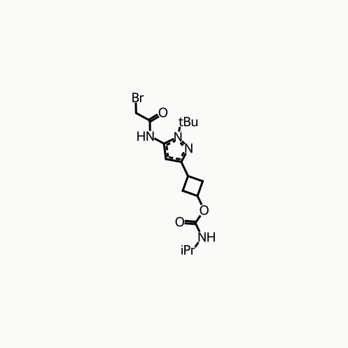 CC(C)NC(=O)OC1CC(c2cc(NC(=O)CBr)n(C(C)(C)C)n2)C1